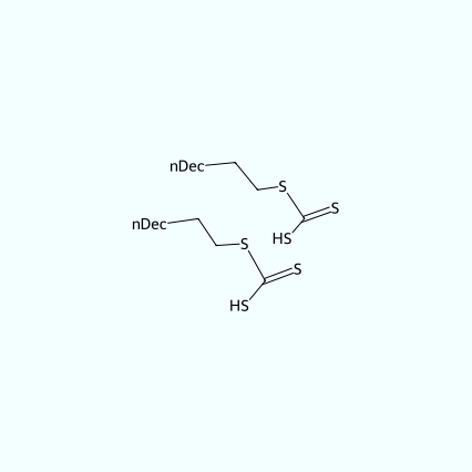 CCCCCCCCCCCCSC(=S)S.CCCCCCCCCCCCSC(=S)S